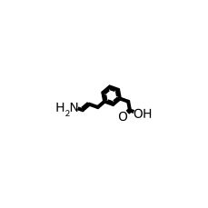 NC=CCc1cccc(CC(=O)O)c1